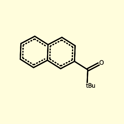 CC(C)(C)C(=O)c1ccc2ccccc2c1